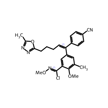 CO/N=C(\Cl)c1cc(/C(=C\CCCc2nnc(C)o2)c2ccc(C#N)cc2)cc(C)c1OC